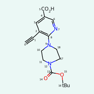 C#Cc1cc(C(=O)O)cnc1N1CCN(C(=O)OC(C)(C)C)CC1